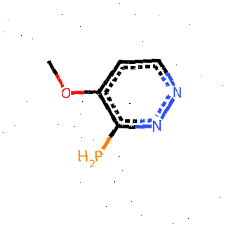 COc1ccnnc1P